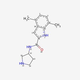 Cc1ccc(C)c2[nH]c(C(=O)NC3CCNC3)cc12